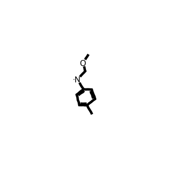 COC[N]c1ccc(C)cc1